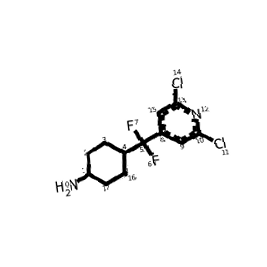 NC1CCC(C(F)(F)c2cc(Cl)nc(Cl)c2)CC1